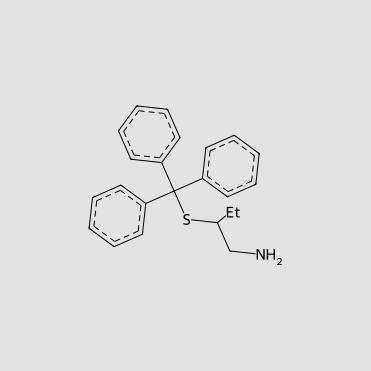 CCC(CN)SC(c1ccccc1)(c1ccccc1)c1ccccc1